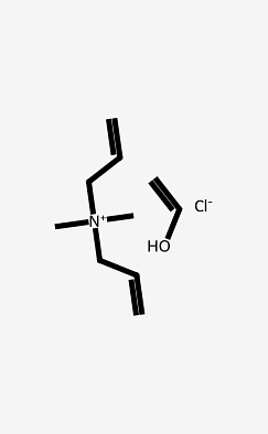 C=CC[N+](C)(C)CC=C.C=CO.[Cl-]